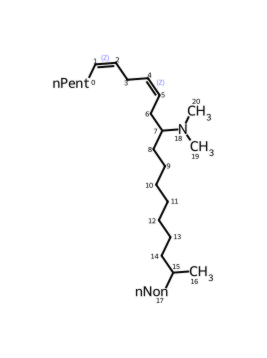 CCCCC/C=C\C/C=C\CC(CCCCCCCC(C)CCCCCCCCC)N(C)C